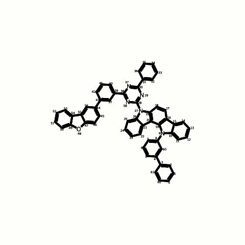 c1ccc(-c2cccc(-n3c4ccccc4c4ccc5c(c6ccccc6n5-c5nc(-c6ccccc6)nc(-c6cccc(-c7ccc8oc9ccccc9c8c7)c6)n5)c43)c2)cc1